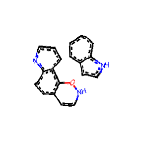 C1=Cc2ccc3ncccc3c2ON1.c1ccc2[nH]ccc2c1